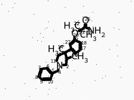 CC1CN(Cc2ccccc2)CCC1(C)c1cccc(OC(C)(C)C(N)=O)c1